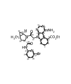 CCOC(=O)c1cccc2c1c1c(N)ncnc1n2CC(=O)N1[C@H](C(=O)Nc2cccc(Br)n2)C[C@@]2(C)C[C@@H]12